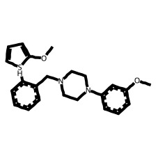 COC1=CC=C[SH]1c1ccccc1CN1CCN(c2cccc(OC)c2)CC1